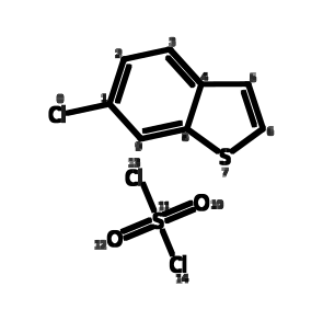 Clc1ccc2ccsc2c1.O=S(=O)(Cl)Cl